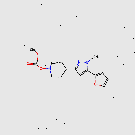 Cn1nc(C2CCN(OC(=O)OC(C)(C)C)CC2)cc1-c1ccco1